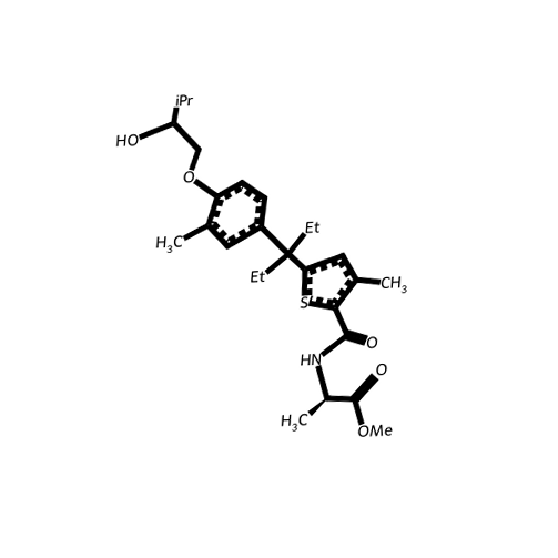 CCC(CC)(c1ccc(OCC(O)C(C)C)c(C)c1)c1cc(C)c(C(=O)N[C@H](C)C(=O)OC)s1